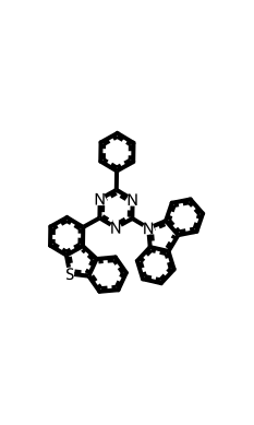 c1ccc(-c2nc(-c3cccc4sc5ccccc5c34)nc(-n3c4ccccc4c4ccccc43)n2)cc1